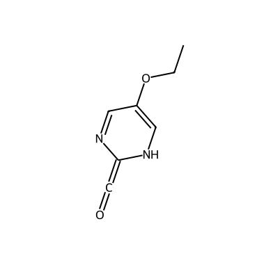 CCOC1=CNC(=C=O)N=C1